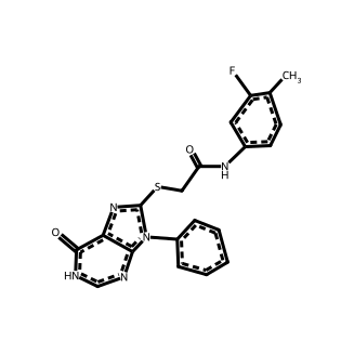 Cc1ccc(NC(=O)CSc2nc3c(=O)[nH]cnc3n2-c2ccccc2)cc1F